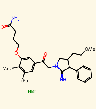 Br.COCCC1CN(CC(=O)c2cc(OCCCC(N)=O)c(OC)c(C(C)(C)C)c2)C(=N)C1c1ccccc1